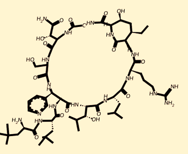 CC[C@@H]1C[C@H](O)[C@@H]2NC(=O)[C@H]1NC(=O)[C@@H](CCCNC(=N)N)NC(=O)[C@H](CC(C)C)NC(=O)[C@H]([C@H](O)C(C)C)NC(=O)[C@@H](NC(=O)[C@H](CC(C)(C)C)NC(=O)[C@H](N)CC(C)(C)C)[C@@H](c1cccnc1)NC(=O)C(CO)NC(=O)C([C@H](O)C(N)=O)NC(=O)CNC2=O